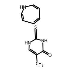 C1=CC=CNC=C1.Cc1c[nH]c(=S)[nH]c1=O